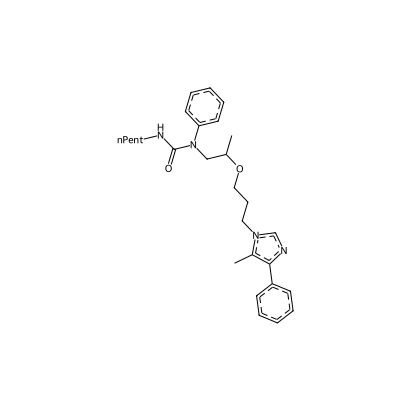 CCCCCNC(=O)N(CC(C)OCCCn1cnc(-c2ccccc2)c1C)c1ccccc1